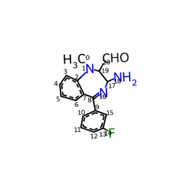 CN1c2ccccc2C(c2cccc(F)c2)=NC(N)C1C=O